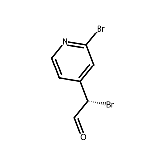 O=C[C@@H](Br)c1ccnc(Br)c1